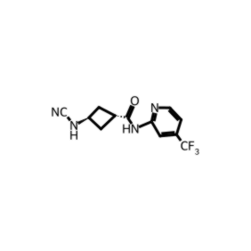 N#CN[C@H]1C[C@H](C(=O)Nc2cc(C(F)(F)F)ccn2)C1